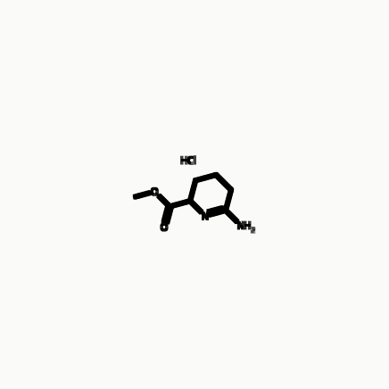 COC(=O)C1CCCC(N)=N1.Cl